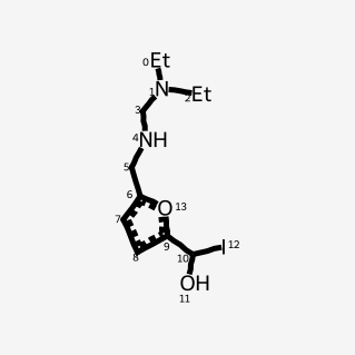 CCN(CC)CNCc1ccc(C(O)I)o1